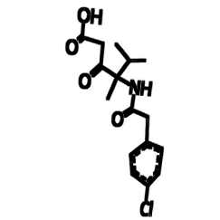 CC(C)C(C)(NC(=O)Cc1ccc(Cl)cc1)C(=O)CC(=O)O